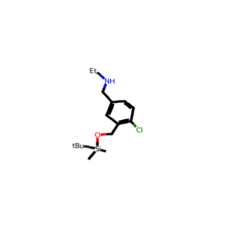 CCNCc1ccc(Cl)c(CO[Si](C)(C)C(C)(C)C)c1